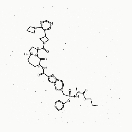 CCCOC(=O)[C@H](C)NP(=O)(Cc1ccc2sc(C(=O)N[C@H]3CCC[C@H]4CC[C@@H](C(=O)N5CC(c6cncnc6N6CCC6)C5)N4C3=O)cc2c1)Oc1ccccc1